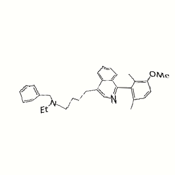 CCN(CCCCc1cnc(-c2c(C)ccc(OC)c2C)c2ccccc12)Cc1ccccc1